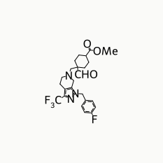 COC(=O)C1CCC(C=O)(CN2CCc3c(C(F)(F)F)nn(Cc4ccc(F)cc4)c3C2)CC1